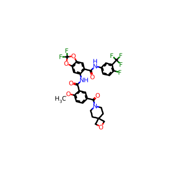 COc1ccc(C(=O)N2CCC3(CC2)COC3)cc1C(=O)Nc1cc2c(cc1C(=O)Nc1ccc(F)c(C(F)(F)F)c1)OC(F)(F)O2